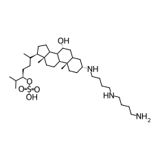 CC(CC[C@@H](OS(=O)(=O)O)C(C)C)[C@H]1CCC2C3C(CC[C@@]21C)[C@@]1(C)CC[C@@H](NCCCCNCCCCN)CC1C[C@H]3O